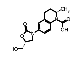 C[C@H]1CCc2cc(N3C[C@H](CO)OC3=O)ccc2N1C(=O)O